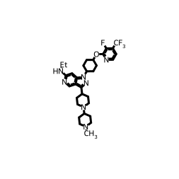 CCNc1cc2c(cn1)c(C1CCN(C3CCN(C)CC3)CC1)nn2C1CCC(Oc2nccc(C(F)(F)F)c2F)CC1